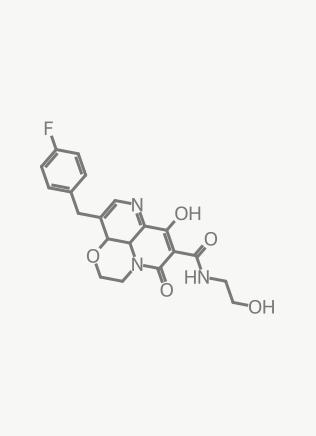 O=C(NCCO)C1=C(O)C2=NC=C(Cc3ccc(F)cc3)C3OCCN(C1=O)C23